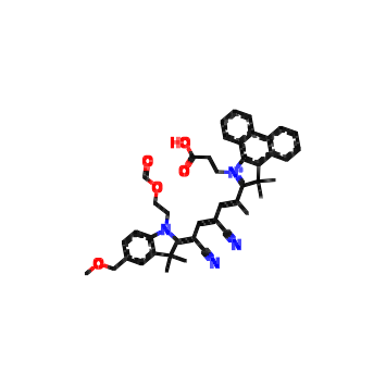 COCc1ccc2c(c1)C(C)(C)/C(=C(C#N)/C=C(C#N)/C=C(\C)C1=[N+](CCC(=O)O)c3c(c4ccccc4c4ccccc34)C1(C)C)N2CCOC=O